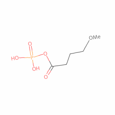 COCCCC(=O)OP(=O)(O)O